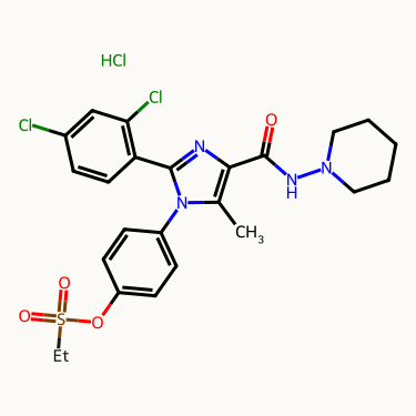 CCS(=O)(=O)Oc1ccc(-n2c(-c3ccc(Cl)cc3Cl)nc(C(=O)NN3CCCCC3)c2C)cc1.Cl